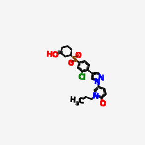 CCCn1cc(-n2cc(-c3ccc(S(=O)(=O)C4CCC[C@@H](O)C4)cc3Cl)cn2)ccc1=O